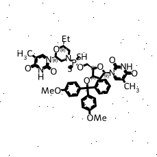 CC[C@@H]1CN(P(=S)(S)OC[C@H]2O[C@@H](n3cc(C)c(=O)[nH]c3=O)C[C@H]2OC(c2ccccc2)(c2ccc(OC)cc2)c2ccc(OC)cc2)C[C@H](n2cc(C)c(=O)[nH]c2=O)O1